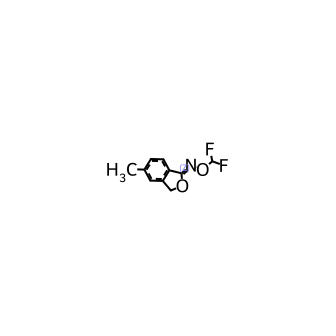 Cc1ccc2c(c1)CO/C2=N\OC(F)F